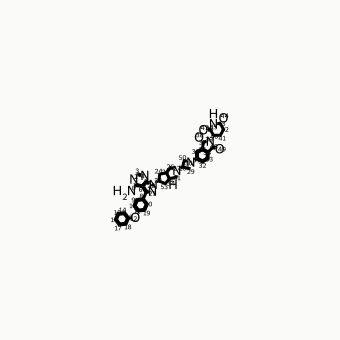 Nc1ncnc2c1c(-c1ccc(Oc3ccccc3)cc1)nn2[C@H]1CC2CN(C3CN(c4ccc5c(c4)C(=O)N(C4CCC(=O)NC4=O)C5=O)C3)C[C@@H]2C1